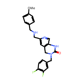 COc1ccc(CNCc2cc3c(cn2)NC(=O)N(Cc2ccc(F)c(F)c2)C3)cc1